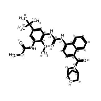 COC(=O)Nc1cc(C(C)(C)C)cc(NC(=O)Nc2ccc(C(=O)N3CC4CC3CO4)c3ccccc23)c1OC